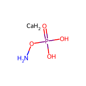 NOP(=O)(O)O.[CaH2]